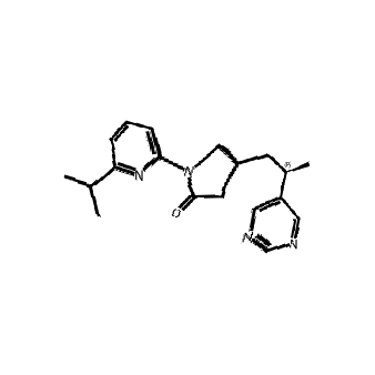 CC(C)c1cccc(N2CC(C[C@@H](C)c3cncnc3)CC2=O)n1